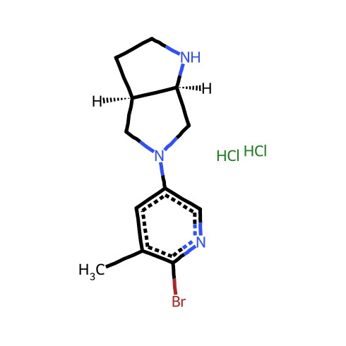 Cc1cc(N2C[C@H]3CCN[C@H]3C2)cnc1Br.Cl.Cl